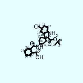 CC(C)(C)OC(=O)C(N)C1(c2cccc(Cl)c2)CCC(NC(=O)c2ccccc2C(=O)O)CC1